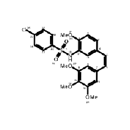 COc1ccc(/C=C\c2cc(OC)c(OC)c(OC)c2)cc1NS(=O)(=O)c1ccc(Cl)cc1